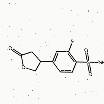 NS(=O)(=O)c1ccc(C2COC(=O)C2)cc1F